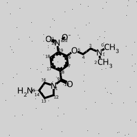 CN(C)CCOc1cc(C(=O)N2CC[C@H](N)C2)ccc1[N+](=O)[O-]